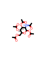 CC(=O)NC1C(OC(C)=O)OC(COC(C)=O)[C@H](OC(C)=O)[C@H]1OC(C)=O